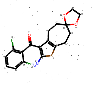 Nc1sc2c(c1C(=O)c1c(F)cccc1F)CCC1(CC2)OCCO1